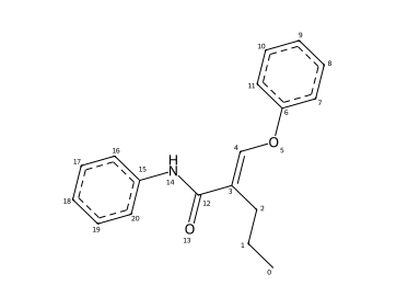 CCC/C(=C\Oc1ccccc1)C(=O)Nc1ccccc1